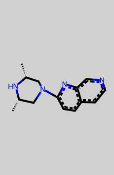 C[C@@H]1CN(c2ccc3ccncc3n2)C[C@H](C)N1